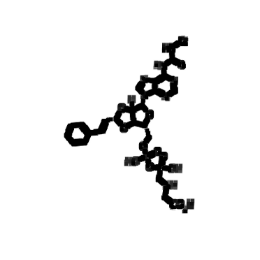 CCNC(=O)Nc1ncnc2c1ncn2[C@@H]1O[C@H](COP(=O)(O)OP(=O)(O)CNCC(=O)O)C2O[C@H](/C=C/c3ccccc3)O[C@@H]21